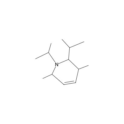 CC(C)C1C(C)C=CC(C)N1C(C)C